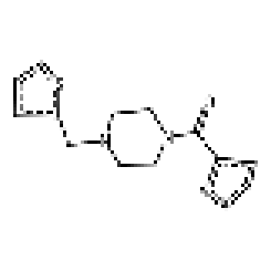 O=C(c1cccs1)N1CCN(Cc2cccs2)CC1